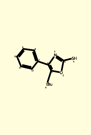 CC(C)(C)c1oc(S)nc1-c1ccccc1